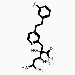 Cc1cccc(CCc2ccnc(C[C@](O)(C(=O)O)[C@@H](N)CC(C)C)c2)c1